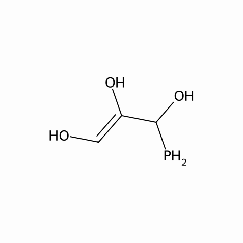 OC=C(O)C(O)P